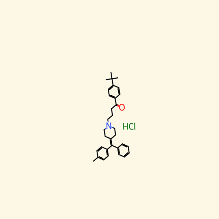 Cc1ccc(C(=C2CCN(CCCC(=O)c3ccc(C(C)(C)C)cc3)CC2)c2ccccc2)cc1.Cl